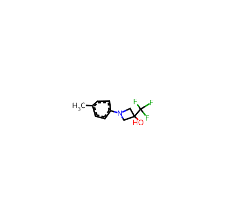 Cc1ccc(N2CC(O)(C(F)(F)F)C2)cc1